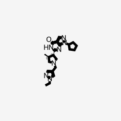 CCn1cc(CN2C[C@@H](C)[C@H](c3nc4c(cnn4C4CCCC4)c(=O)[nH]3)C2)cn1